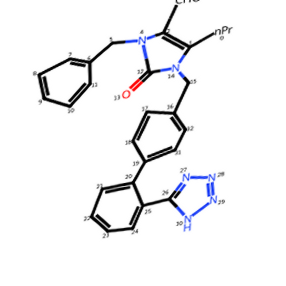 CCCc1c(C=O)n(Cc2ccccc2)c(=O)n1Cc1ccc(-c2ccccc2-c2nnn[nH]2)cc1